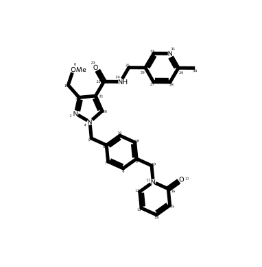 COCc1nn(Cc2ccc(Cn3ccccc3=O)cc2)cc1C(=O)NCc1ccc(C)nc1